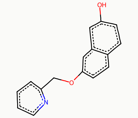 Oc1ccc2ccc(OCc3ccccn3)cc2c1